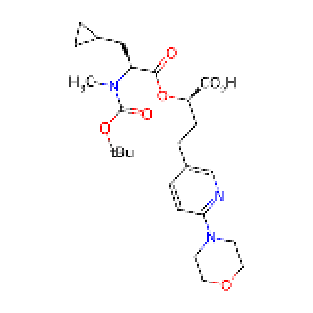 CN(C(=O)OC(C)(C)C)[C@@H](CC1CC1)C(=O)O[C@H](CCc1ccc(N2CCOCC2)nc1)C(=O)O